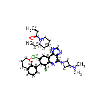 C=CC(=O)N1CC[C@H](n2cnc3c(N4CC(N(C)C)C4)nc4c(F)c(-c5cccc6c5OCCC6)c(Cl)cc4c32)C[C@H]1CC#N